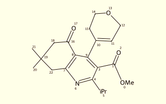 COC(=O)c1c(C(C)C)nc2c(c1C1=CCOCC1)C(=O)CC(C)(C)C2